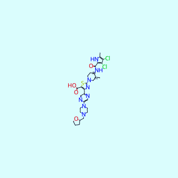 Cc1[nH]c(C(=O)N[C@@H]2CCN(c3nc(-c4cnc(N5CCN(CC6CCCO6)CC5)cn4)c(C(=O)O)s3)C[C@@H]2C)c(Cl)c1Cl